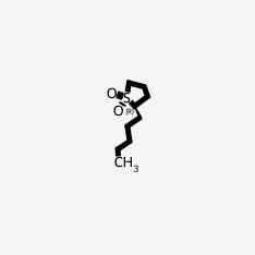 CCCCC[C@@H]1CCCS1(=O)=O